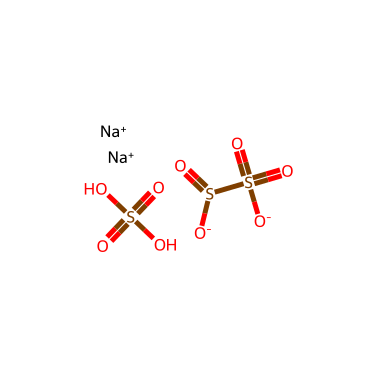 O=S(=O)(O)O.O=S([O-])S(=O)(=O)[O-].[Na+].[Na+]